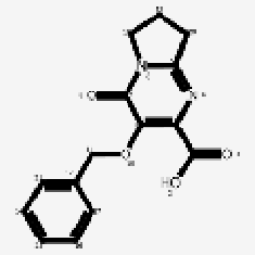 O=C(O)c1nc2n(c(=O)c1OCc1ccccc1)CCC2